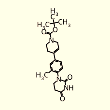 Cc1cc(C2=CCN(C(=O)OC(C)(C)C)CC2)ccc1N1CCC(=O)NC1=O